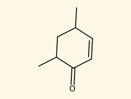 CC1C=CC(=O)C(C)C1